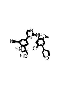 COc1cc(C2CCOCC2)c(Cl)cc1Nc1nccc(-c2cc(C#N)c3c(c2)[C@@](C)(CO)CN3)n1